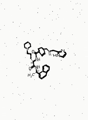 C[C@H](NC(=O)[C@H](CCCN1CCCCC1)NC(=O)c1ccc(CNCc2ncc[nH]2)cc1)c1cccc2ccccc12